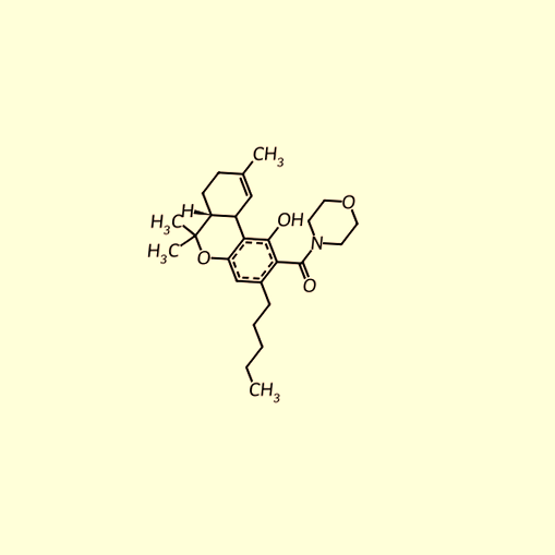 CCCCCc1cc2c(c(O)c1C(=O)N1CCOCC1)C1C=C(C)CC[C@H]1C(C)(C)O2